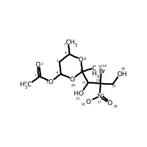 CC(=O)OC1CC(C)OC(C)(C(O)C(Br)(CO)[N+](=O)[O-])O1